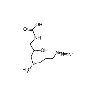 CN(CCCN=[N+]=[N-])CC(O)CNC(=O)O